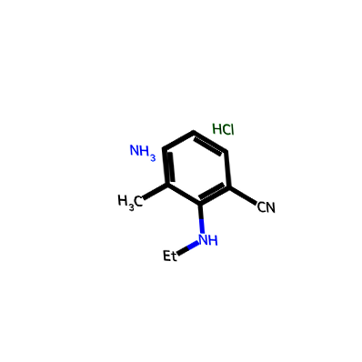 CCNc1c(C)cccc1C#N.Cl.N